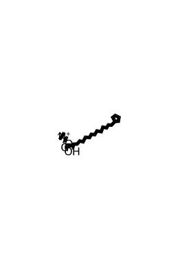 C[N+](C)(C)CCOP(=O)(O)CCCCCCCCCCCCCCCC1CCCC1